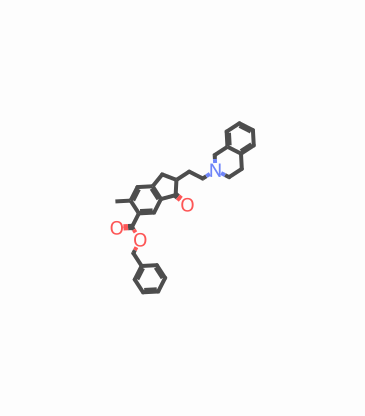 Cc1cc2c(cc1C(=O)OCc1ccccc1)C(=O)C(CCN1CCc3ccccc3C1)C2